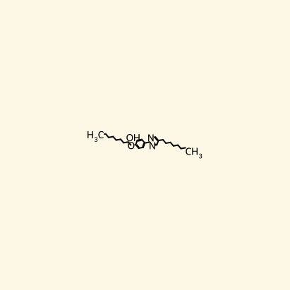 CCCCCCCCc1cnc(-c2ccc(OC(O)CCCCCCC)cc2)nc1